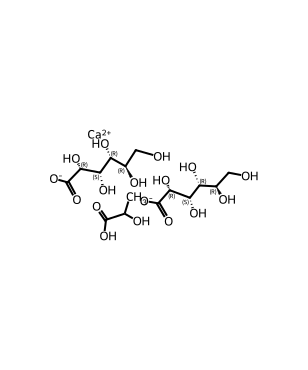 CC(O)C(=O)O.O=C([O-])[C@H](O)[C@@H](O)[C@H](O)[C@H](O)CO.O=C([O-])[C@H](O)[C@@H](O)[C@H](O)[C@H](O)CO.[Ca+2]